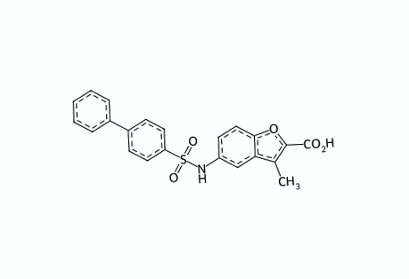 Cc1c(C(=O)O)oc2ccc(NS(=O)(=O)c3ccc(-c4ccccc4)cc3)cc12